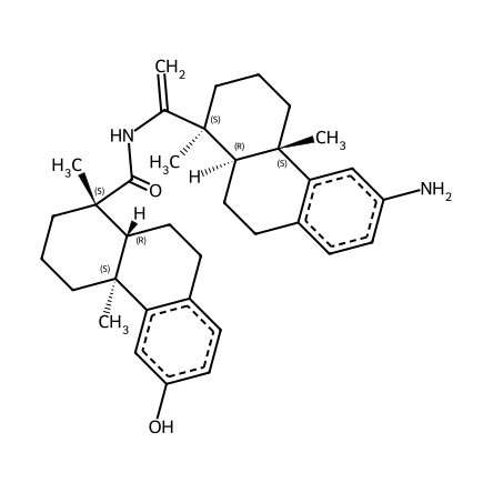 C=C(NC(=O)[C@@]1(C)CCC[C@]2(C)c3cc(O)ccc3CC[C@@H]12)[C@@]1(C)CCC[C@]2(C)c3cc(N)ccc3CC[C@@H]12